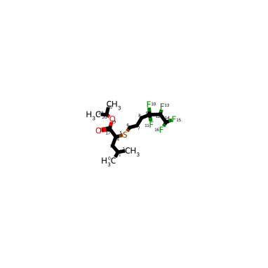 CC(C)CC(SCCCC(F)(F)C(F)C(F)F)C(=O)OC(C)C